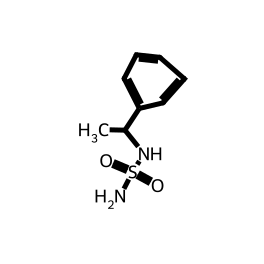 CC(NS(N)(=O)=O)c1ccccc1